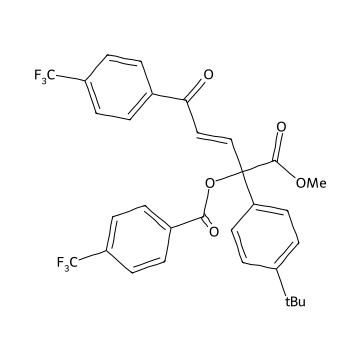 COC(=O)C(/C=C/C(=O)c1ccc(C(F)(F)F)cc1)(OC(=O)c1ccc(C(F)(F)F)cc1)c1ccc(C(C)(C)C)cc1